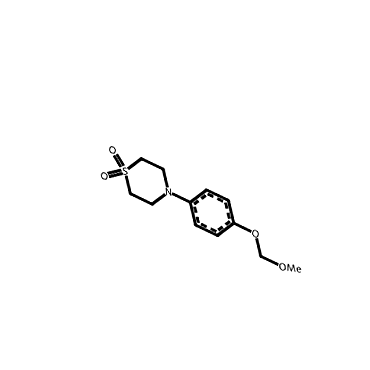 COCOc1ccc(N2CCS(=O)(=O)CC2)cc1